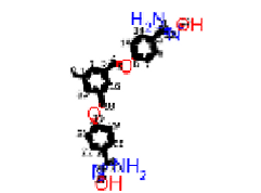 Cc1cc(COc2ccc(/C(N)=N/O)cc2)cc(COc2ccc(/C(N)=N/O)cc2)c1